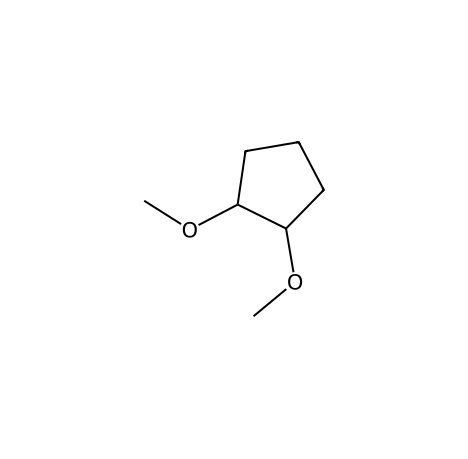 COC1CCCC1OC